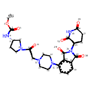 CC(C)(C)OC(=O)N[C@H]1CCN(C(=O)CN2CCN(c3cccc4c3C(=O)N(C3CCC(=O)NC3=O)C4=O)CC2)C1